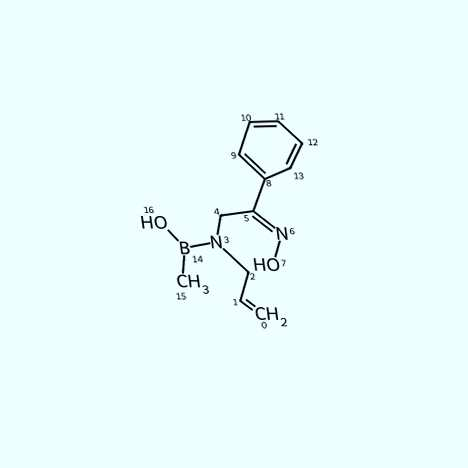 C=CCN(CC(=NO)c1ccccc1)B(C)O